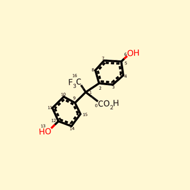 O=C(O)C(c1ccc(O)cc1)(c1ccc(O)cc1)C(F)(F)F